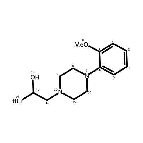 COc1ccccc1N1CCN(CC(O)C(C)(C)C)CC1